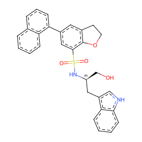 O=S(=O)(N[C@@H](CO)Cc1c[nH]c2ccccc12)c1cc(-c2cccc3ccccc23)cc2c1OCC2